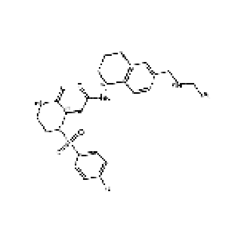 CC(C)(C)CNCc1ccc2c(c1)CCC[C@H]2NC(=O)C[C@@H]1C(=O)NCCN1S(=O)(=O)c1ccc(Cl)cc1